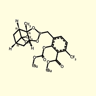 CC(C)(C)OC(=O)Oc1c(CB2O[C@@H]3C[C@@H]4C[C@@H](C4(C)C)[C@]3(C)O2)ccc(C(F)(F)F)c1C(=O)OC(C)(C)C